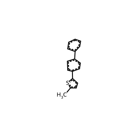 Cc1ccc(-c2ccc(-c3ccccc3)cc2)s1